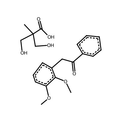 CC(CO)(CO)C(=O)O.COc1cccc(CC(=O)c2ccccc2)c1OC